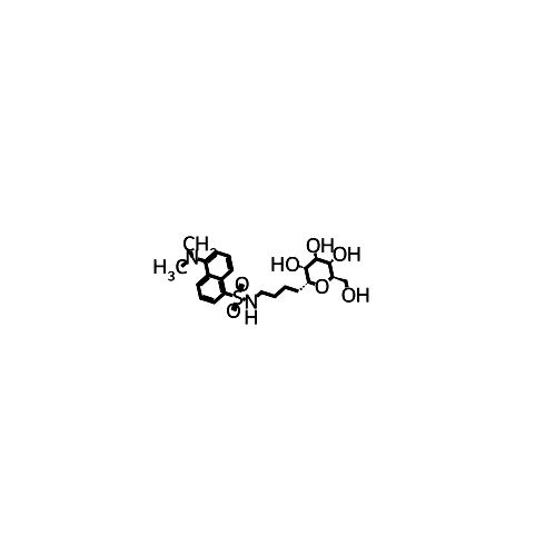 CN(C)c1cccc2c(S(=O)(=O)NCCCC[C@H]3O[C@H](CO)[C@@H](O)[C@H](O)[C@H]3O)cccc12